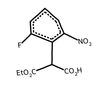 CCOC(=O)C(C(=O)O)c1c(F)cccc1[N+](=O)[O-]